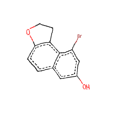 Oc1cc(Br)c2c3c(ccc2c1)OCC3